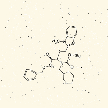 Cn1c(CCC(C(=O)NOCc2ccccc2)N(CC2CCCCC2)C(=O)OC(C)(C)C)nc2ccccc21